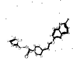 Cc1ccc2cc(OCCC3CCN(C(=O)OCc4nccs4)CC3)ccc2n1